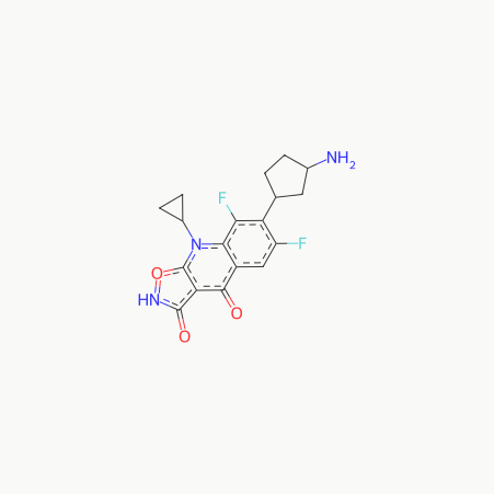 NC1CCC(c2c(F)cc3c(=O)c4c(=O)[nH]oc4n(C4CC4)c3c2F)C1